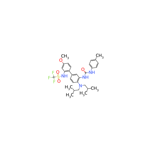 COc1ccc(-c2ccc(N(CC(C)C)CC(C)C)c(NC(=O)Nc3ccc(C)cc3)c2)c(NS(=O)(=O)C(F)(F)F)c1